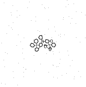 c1ccc(N(c2ccc3c(c2)C2(c4ccccc4O3)c3ccccc3-c3ccccc32)c2ccc3c(c2)C(c2ccccc2)(c2ccccc2)c2ccccc2-3)cc1